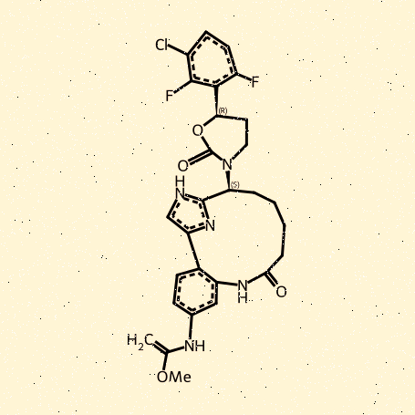 C=C(Nc1ccc2c(c1)NC(=O)CCCC[C@H](N1CC[C@H](c3c(F)ccc(Cl)c3F)OC1=O)c1nc-2c[nH]1)OC